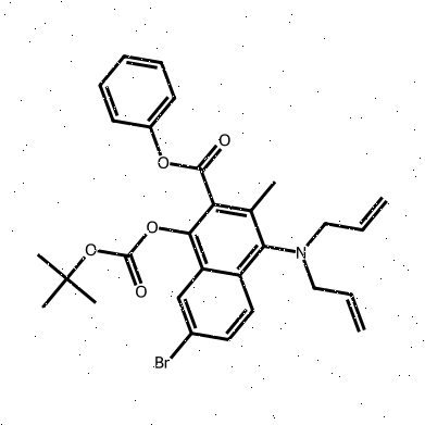 C=CCN(CC=C)c1c(C)c(C(=O)Oc2ccccc2)c(OC(=O)OC(C)(C)C)c2cc(Br)ccc12